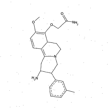 COC1=C(OCC(N)=O)C2CCN3CC(c4cccc(C)c4)C(N)CC3=C2C=C1